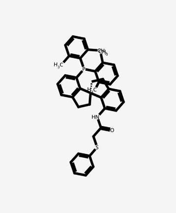 Cc1cccc(C)c1P(c1cccc2c1[C@]1(CCc3cccc(NC(=O)CSc4ccccc4)c31)CC2)c1c(C)cccc1C